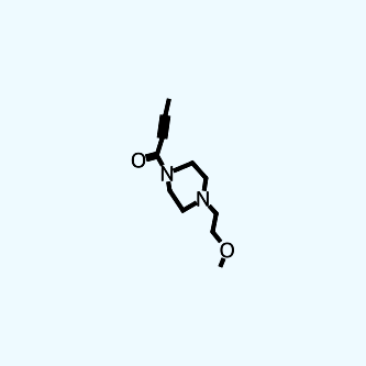 CC#CC(=O)N1CCN(CCOC)CC1